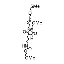 COCCOC(=O)NCCCCC(NC(=O)OCCOC)C(=O)NCCSSCCOCCSC